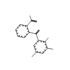 O=C(O)c1ccccc1C(=O)c1cc(Cl)cc(Cl)c1O